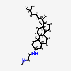 CNCCN[C@H]1CC[C@@]2(C)C(CCC3C2CC[C@@]2(C)C3CC[C@@H]2[C@H](C)CCCC(C)C)C1